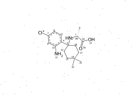 C[C@@H](NC1(c2ccc(Cl)cc2N)CCC(C)(C)CC1)C(=O)O